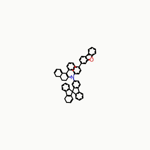 C1=CCC2CCC(N(c3ccc(-c4ccc5c(c4)oc4ccccc45)cc3)c3ccc4c(c3)C3(C5=C(CCC=C5)c5ccccc53)c3ccccc3-4)=C(c3ccccc3)C2=C1